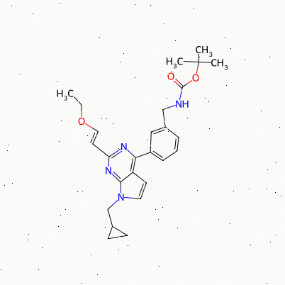 CCOC=Cc1nc(-c2cccc(CNC(=O)OC(C)(C)C)c2)c2ccn(CC3CC3)c2n1